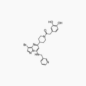 O=C(Cc1ccc(O)c(O)c1)N1CCC(c2cc(NCc3cccnc3)n3ncc(Br)c3n2)CC1